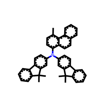 Cc1ccc(N(c2ccc3c(c2)C(C)(C)c2ccccc2-3)c2ccc3c(c2)C(C)(C)c2ccccc2-3)c2ccc3ccccc3c12